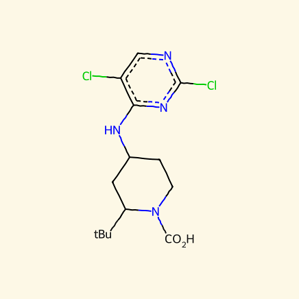 CC(C)(C)C1CC(Nc2nc(Cl)ncc2Cl)CCN1C(=O)O